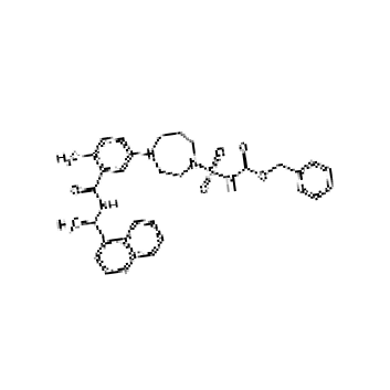 Cc1ccc(N2CCCN(S(=O)(=O)NC(=O)OCc3ccccc3)CC2)cc1C(=O)N[C@H](C)c1cccc2ccccc12